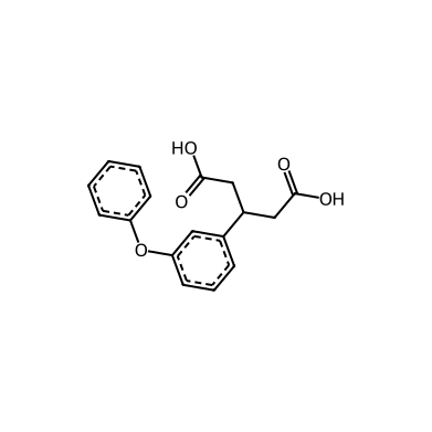 O=C(O)CC(CC(=O)O)c1cccc(Oc2ccccc2)c1